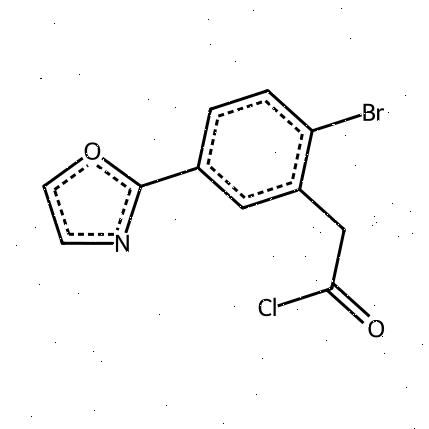 O=C(Cl)Cc1cc(-c2ncco2)ccc1Br